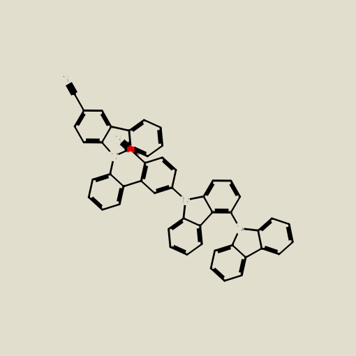 N#Cc1ccc2c(c1)c1ccccc1n2-c1ccccc1-c1cc(-n2c3ccccc3c3c(-n4c5ccccc5c5ccccc54)cccc32)ccc1C#N